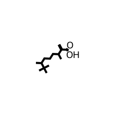 C=C(C(=O)O)C(C)CCCC(C)C(C)(C)C